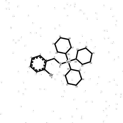 Brc1ccccc1C[S][Sn]([CH]1CCCCC1)([CH]1CCCCC1)[CH]1CCCCC1